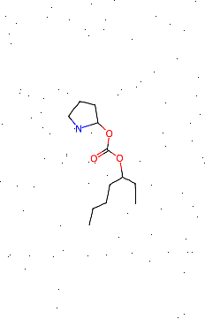 CCCCC(CC)OC(=O)OC1CCC[N]1